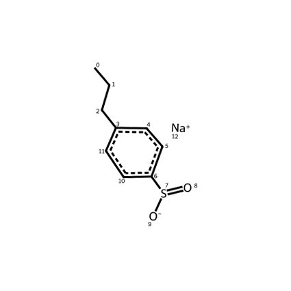 CCCc1ccc(S(=O)[O-])cc1.[Na+]